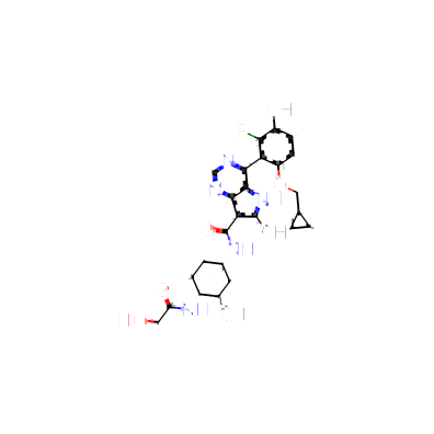 Cc1ccc(OCC2CC2)c(-c2ncnc3c(C(=O)N[C@H]4CC[C@@H](NC(=O)CO)[C@H](C)C4)c(C)[nH]c23)c1F